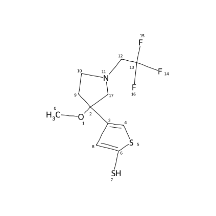 COC1(c2csc(S)c2)CCN(CC(F)(F)F)C1